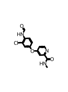 CNC(=O)c1cc(Oc2ccc(NC=O)c(Cl)c2)ccn1